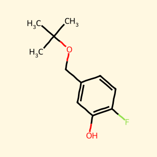 CC(C)(C)OCc1ccc(F)c(O)c1